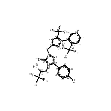 CC(F)(F)c1nc(Cn2nc(-c3ccc(Cl)cc3)n(C[C@H](O)C(F)(F)F)c2=O)nn1-c1cnccc1C(F)(F)F